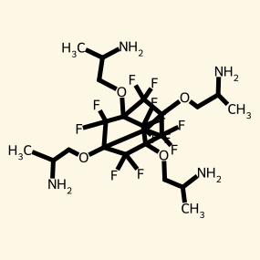 CC(N)COC12C(F)(F)C3(OCC(C)N)C(F)(F)C(OCC(C)N)(C1(F)F)C(F)(F)C(OCC(C)N)(C2(F)F)C3(F)F